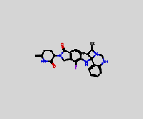 C=C1CCC(N2Cc3c(ccc(NC45c6ccccc6NCN4C(CC)C5CCC)c3I)C2=O)C(=O)N1